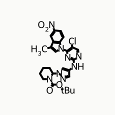 Cc1cn(-c2nc(Nc3cnn(C4CCCCN4C(=O)OC(C)(C)C)c3)ncc2Cl)c2ccc([N+](=O)[O-])cc12